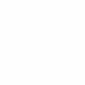 CCOP(=O)(SCC)SCCSCC